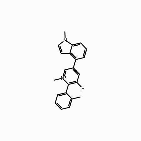 Cc1ccccc1-c1c(F)cc(-c2cccc3c2ccn3C)c[n+]1C